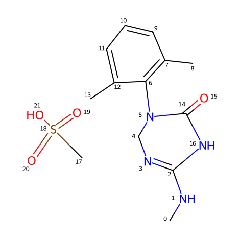 CNC1=NCN(c2c(C)cccc2C)C(=O)N1.CS(=O)(=O)O